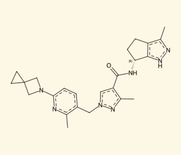 Cc1nc(N2CC3(CC3)C2)ccc1Cn1cc(C(=O)N[C@@H]2CCc3c(C)n[nH]c32)c(C)n1